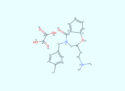 Cc1ccc(CN2CC(CCN(C)C)Oc3ccccc3C2=O)cc1.O=C(O)C(=O)O